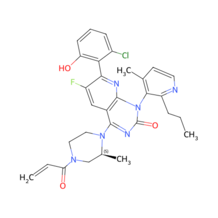 C=CC(=O)N1CCN(c2nc(=O)n(-c3c(C)ccnc3CCC)c3nc(-c4c(O)cccc4Cl)c(F)cc23)[C@@H](C)C1